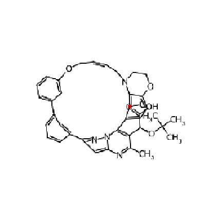 Cc1nc2cc3nn2c(c1[C@H](OC(C)(C)C)C(=O)O)-c1ccc2c(c1Cl)N(CC=CCOc1cccc(c1)-c1cccc-3c1)CCO2